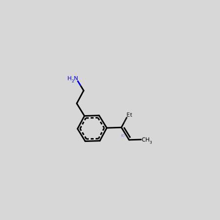 C/C=C(\CC)c1cccc(CCN)c1